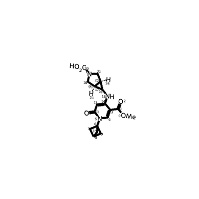 COC(=O)c1cn(C23CC(C2)C3)c(=O)cc1NC1[C@H]2CN(C(=O)O)C[C@@H]12